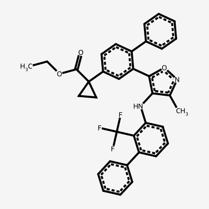 CCOC(=O)C1(c2ccc(-c3ccccc3)c(-c3onc(C)c3Nc3cccc(-c4ccccc4)c3C(F)(F)F)c2)CC1